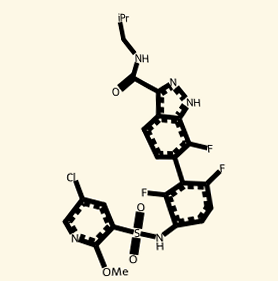 COc1ncc(Cl)cc1S(=O)(=O)Nc1ccc(F)c(-c2ccc3c(C(=O)NCC(C)C)n[nH]c3c2F)c1F